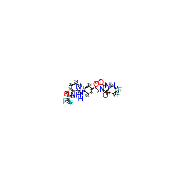 O=C(CN1C(=O)NC2(CCC(F)(F)CC2)C1=O)c1ccc(Nc2ncccc2NC(=O)C(F)F)cc1